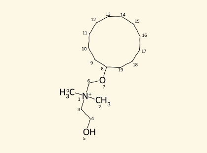 C[N+](C)(CCO)COC1CCCCCCCCCCC1